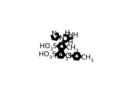 Cc1ccc(S(=O)(=O)O)cc1.Cc1ccc(S(=O)(=O)O)cc1.Cc1ccc(S(=O)(=O)O)cc1.c1cncc(N2CC[C@@H]3CN[C@@H]3C2)c1